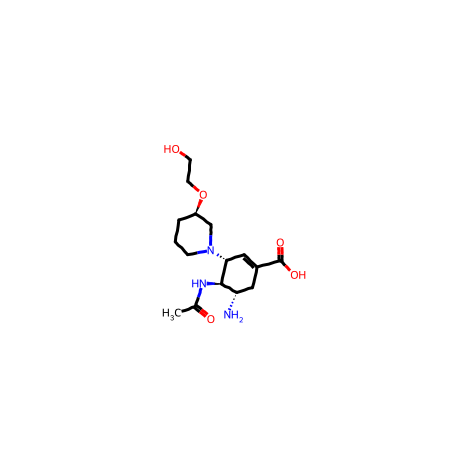 CC(=O)N[C@H]1[C@H](N2CCC[C@@H](OCCO)C2)C=C(C(=O)O)C[C@@H]1N